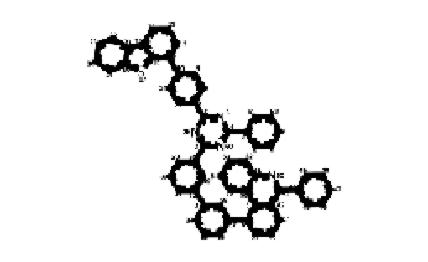 c1ccc(-c2nc(-c3ccc(-c4cccc5c4sc4ccccc45)cc3)nc(-c3cccc(-c4cccc(-c5cccc6c(-c7ccccc7)nc7ccccc7c56)c4)c3)n2)cc1